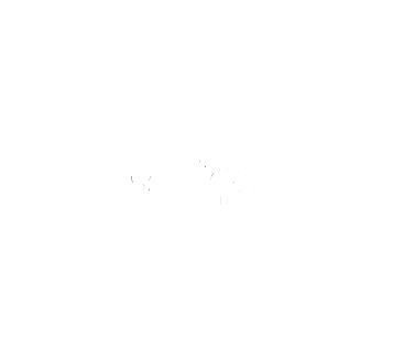 CC(C)(C)OC(=O)NC1CCC(c2nccs2)CC1